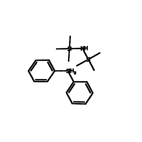 C[Si](C)(C)N[Si](C)(C)C.c1ccc([SiH2]c2ccccc2)cc1